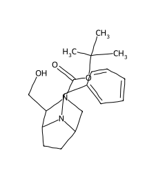 CC(C)(C)OC(=O)N1CC2CCC(C1CO)N2Cc1ccccc1